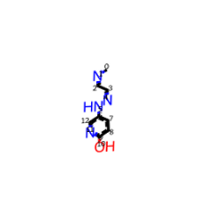 C/N=C\C=N/Nc1ccc(O)nc1